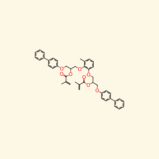 C=C(C)C(=O)OC(COc1ccc(-c2ccccc2)cc1)COc1cccc(C)c1OCC(COc1ccc(-c2ccccc2)cc1)OC(=O)C(=C)C